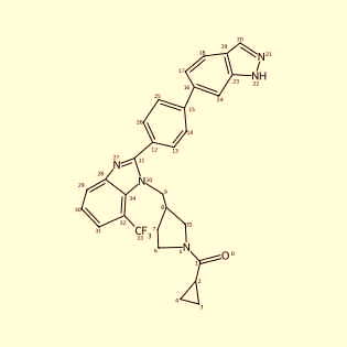 O=C(C1CC1)N1CCC(Cn2c(-c3ccc(-c4ccc5cn[nH]c5c4)cc3)nc3cccc(C(F)(F)F)c32)C1